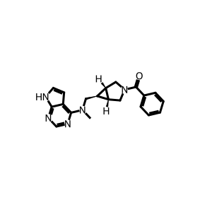 CN(C[C@H]1[C@@H]2CN(C(=O)c3ccccc3)C[C@@H]21)c1ncnc2[nH]ccc12